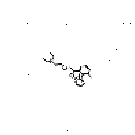 CCN(CC)CCOCC(O)c1cccc(C)c1-c1cccs1